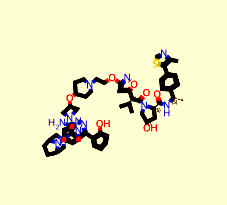 Cc1ncsc1-c1ccc([C@H](C)NC(=O)[C@@H]2C[C@@H](O)CN2C(=O)[C@@H](c2cc(OCCN3CCC(OC4CN(c5cc(N6C7CCC6CN(c6cc(-c8ccccc8O)nnc6N)C7)ccn5)C4)CC3)no2)C(C)C)cc1